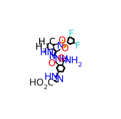 CC1(C)CN(S(=O)(=O)c2cc(F)cc(F)c2)Cc2c(NC(=O)c3cc(-c4ncc(C(=O)O)[nH]4)ccc3C(N)=O)n[nH]c21